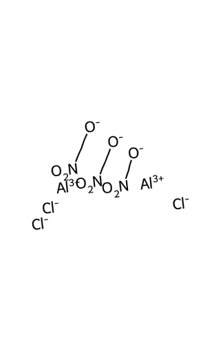 O=[N+]([O-])[O-].O=[N+]([O-])[O-].O=[N+]([O-])[O-].[Al+3].[Al+3].[Cl-].[Cl-].[Cl-]